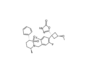 CO[C@H]1C[C@@](c2n[nH]c(=O)o2)(c2cc(F)c(CN3[C@@H](C)CC[C@H](c4ccccc4)S3(=O)=O)cc2F)C1